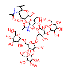 CC(=O)N[C@@H]1C(O[C@@H]2C(CO)OC(C(C)C)[C@@H](NC(C)=O)[C@H]2O)OC(CO)[C@@H](OC2OC(COC3OC(COC4OC(CO)[C@@H](O)[C@H](O)[C@H]4O)[C@@H](O)[C@H](OC4O[C@@H](CO)[C@@H](O)C(O)C4O)[C@H]3O)[C@@H](O)[C@H](OC3O[C@@H](CO)[C@@H](O)C(O)C3O)[C@H]2O)[C@@H]1O